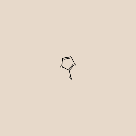 [2H]c1ncco1